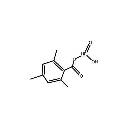 Cc1cc(C)c(C(=O)O[PH](=O)O)c(C)c1